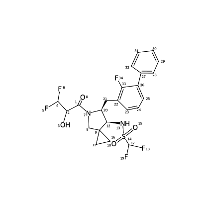 O=C(C(O)C(F)F)N1CC2(CC2)[C@H](NS(=O)(=O)C(F)F)[C@@H]1Cc1cccc(-c2ccccc2)c1F